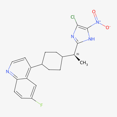 C[C@H](c1nc(Cl)c([N+](=O)[O-])[nH]1)C1CCC(c2ccnc3ccc(F)cc23)CC1